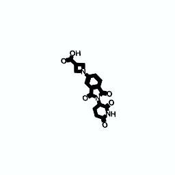 O=C1CCC(N2C(=O)c3ccc(N4CC(C(=O)O)C4)cc3C2=O)C(=O)N1